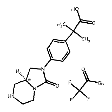 CC(C)(C(=O)O)c1ccc(N2C[C@@H]3CNCCN3C2=O)cc1.O=C(O)C(F)(F)F